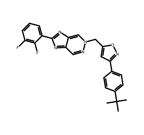 CC(C)(C)c1ccc(-c2cc(Cn3cc4nc(-c5cccc(F)c5F)nc-4cn3)on2)cc1